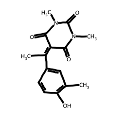 CC(=C1C(=O)N(C)C(=O)N(C)C1=O)c1ccc(O)c(C)c1